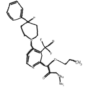 CCCOC(C(=O)NN)c1nccc(N2CCC(F)(c3ccccc3)CC2)c1C(F)(F)F